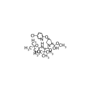 COC(O)[C@@H]1C[C@@H](Oc2ccc(Cl)cn2)CN1C(=O)[C@@H](NC(=O)OC(C)(C)C)C(C)(C)C